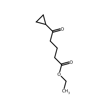 CCOC(=O)CCCC(=O)C1CC1